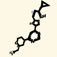 N=C(/C=C\c1ncc(-c2cc(N3CCO[C@H](CN)C3)ncn2)[nH]1)C1CC1